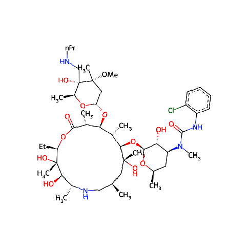 CCCNC[C@]1(O)[C@H](C)O[C@@H](O[C@H]2[C@H](C)[C@@H](O[C@@H]3O[C@H](C)C[C@H](N(C)C(=O)Nc4ccccc4Cl)[C@H]3O)[C@](C)(O)C[C@@H](C)CN[C@H](C)[C@@H](O)[C@](C)(O)[C@@H](CC)OC(=O)[C@@H]2C)C[C@@]1(C)OC